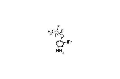 CC(C)c1cc(N)ccc1OC(F)(F)C(F)C(F)(F)F